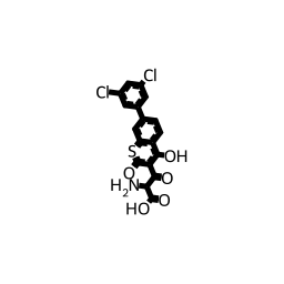 NC(C(=O)O)C(=O)c1c(O)c2ccc(-c3cc(Cl)cc(Cl)c3)cc2sc1=O